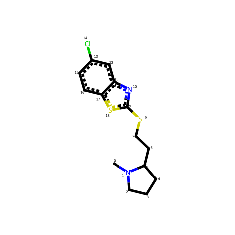 CN1CCCC1CCSc1nc2cc(Cl)ccc2s1